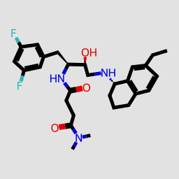 CCc1ccc2c(c1)[C@@H](NC[C@H](O)[C@H](Cc1cc(F)cc(F)c1)NC(=O)CCC(=O)N(C)C)CCC2